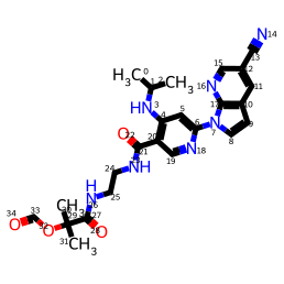 CC(C)Nc1cc(-n2ccc3cc(C#N)cnc32)ncc1C(=O)NCCNC(=O)C(C)(C)OC=O